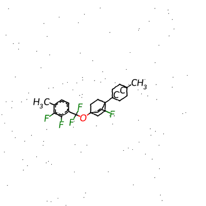 Cc1ccc(C(F)(F)OC23C=C(F)C(C45CCC(C)(CC4)CC5)(CC2)CC3)c(F)c1F